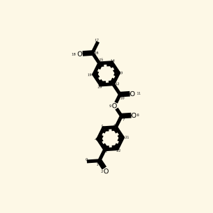 CC(=O)c1ccc(C(=O)OC(=O)c2ccc(C(C)=O)cc2)cc1